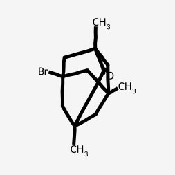 CC12CC3(Br)CC(C)(C1)C(=O)C(C)(C2)C3